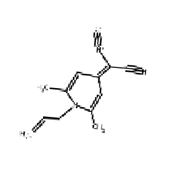 [C-]#[N+]C(C#N)=C1C=C(C)N(CC=C)C(C)=C1